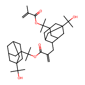 C=C(C)C(=O)OC(C)(C)C12CC3CC(C(C)(C)O)(CC(C1)C3CC(=C)C(=O)OC(C)(C)C13CC4CC(CC(C(C)(C)O)(C4)C1)C3)C2